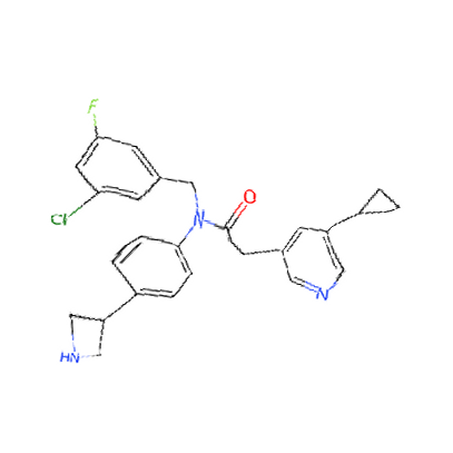 O=C(Cc1cncc(C2CC2)c1)N(Cc1cc(F)cc(Cl)c1)c1ccc(C2CNC2)cc1